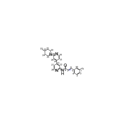 Cc1cccc(/C=C/C(=O)Nc2cc(-c3ccnc(N4CCC(C)CC4)c3)ccn2)c1